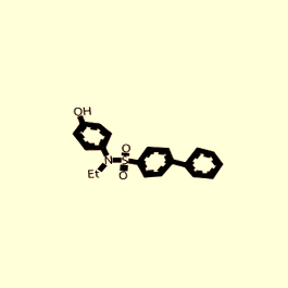 CCN(c1ccc(O)cc1)S(=O)(=O)c1ccc(-c2ccccc2)cc1